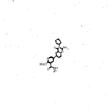 COc1ncc(-c2ccc3nc(N)n(-c4ccccc4)c(=O)c3c2)cc1C(=O)NC(C)C